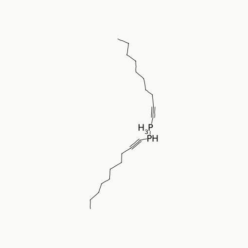 CCCCCCCCC#CP[PH3]C#CCCCCCCCC